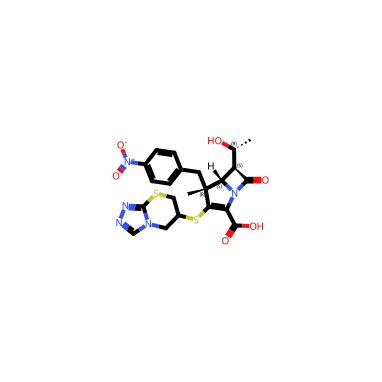 C[C@@H](O)[C@H]1C(=O)N2C(C(=O)O)=C(SC3CSc4nncn4C3)[C@](C)(Cc3ccc([N+](=O)[O-])cc3)[C@H]12